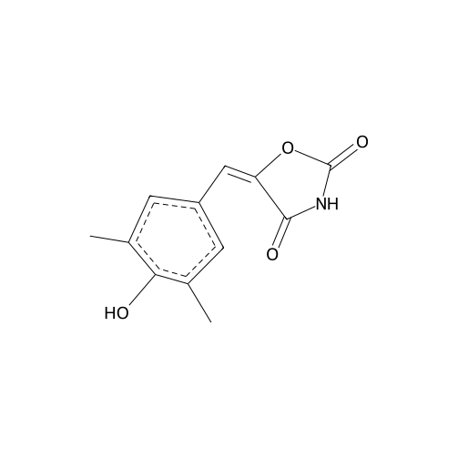 Cc1cc(C=C2OC(=O)NC2=O)cc(C)c1O